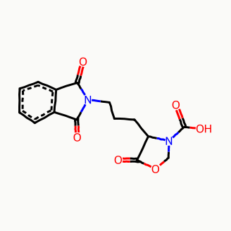 O=C1OCN(C(=O)O)C1CCCN1C(=O)c2ccccc2C1=O